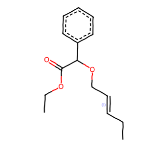 CC/C=C/COC(C(=O)OCC)c1ccccc1